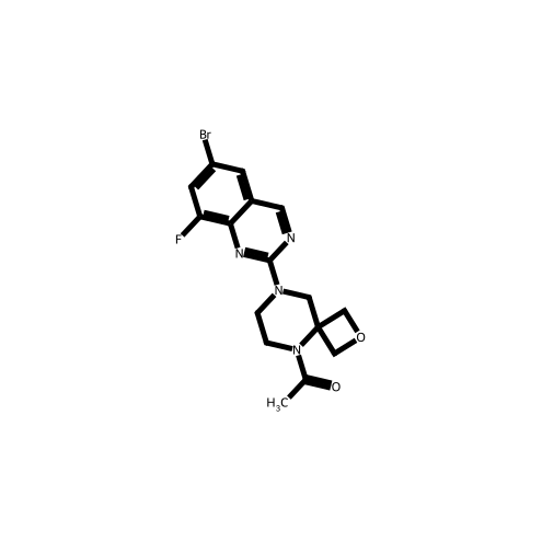 CC(=O)N1CCN(c2ncc3cc(Br)cc(F)c3n2)CC12COC2